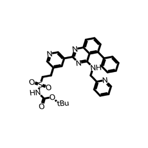 CC(C)(C)OC(=O)NS(=O)(=O)CCc1cncc(-c2nc(NCc3ccccn3)c3c(-c4ccccc4)cccc3n2)c1